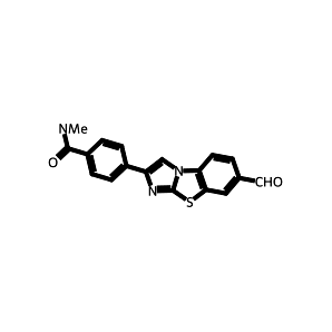 CNC(=O)c1ccc(-c2cn3c(n2)sc2cc(C=O)ccc23)cc1